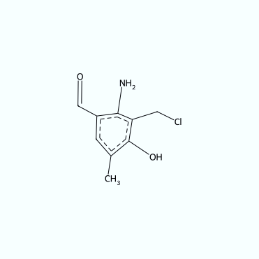 Cc1cc(C=O)c(N)c(CCl)c1O